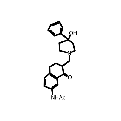 CC(=O)Nc1ccc2c(c1)C(=O)C(CN1CCC(O)(c3ccccc3)CC1)CC2